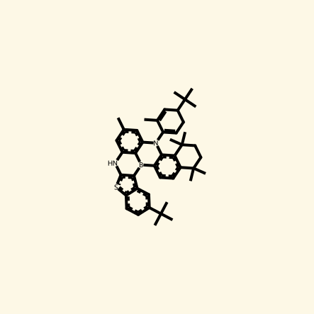 CC1=CC(C(C)(C)C)CC=C1N1c2cc(C)cc3c2B(c2ccc4c(c21)C(C)(C)CCC4(C)C)c1c(sc2ccc(C(C)(C)C)cc12)N3